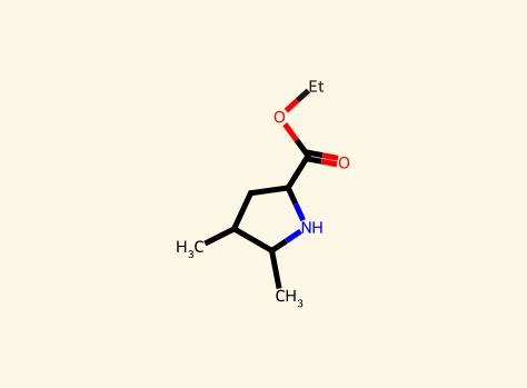 CCOC(=O)C1CC(C)C(C)N1